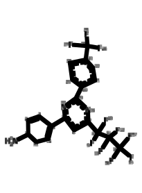 NC1C=CC(c2cc(C(F)(F)C(F)(F)C(F)(F)F)nc(-c3ccc(C(F)(F)F)cc3)n2)=CC1